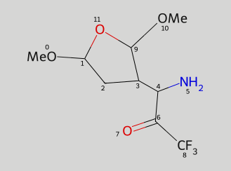 COC1CC(C(N)C(=O)C(F)(F)F)C(OC)O1